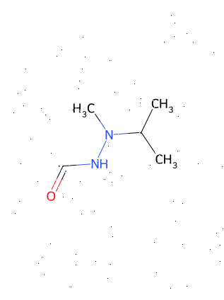 CC(C)N(C)N[C]=O